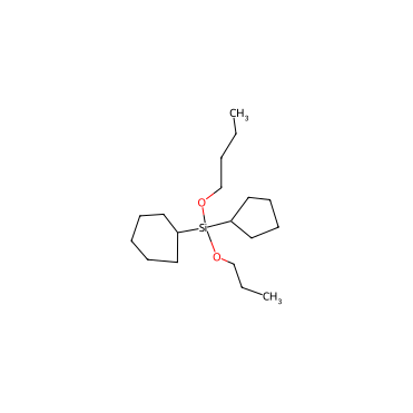 CCCCO[Si](OCCC)(C1CCCCC1)C1CCCC1